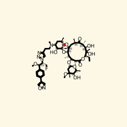 CC[C@H]1OC(=O)[C@H](C)[C@@H](O[C@H]2C[C@@](C)(OC)[C@@H](O)[C@H](C)O2)[C@H](C)[C@@H](O[C@@H]2O[C@H](C)C[C@H](N(C)CCc3cn([C@H](CF)[C@H](OC)c4ccc(-c5cnoc5)cc4)nn3)[C@H]2O)[C@](C)(OC)C[C@@H](C)C(=O)[C@H](C)[C@@H](O)[C@]1(C)O